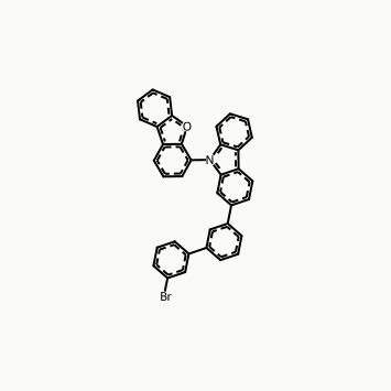 Brc1cccc(-c2cccc(-c3ccc4c5ccccc5n(-c5cccc6c5oc5ccccc56)c4c3)c2)c1